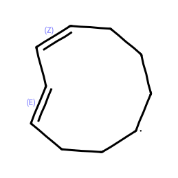 [CH]1CC/C=C/C=C\CCC1